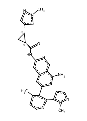 Cc1ccnc(-c2ccnn2C)c1-c1cc(N)c2cnc(NC(=O)[C@H]3C[C@@H]3c3cnn(C)c3)cc2c1